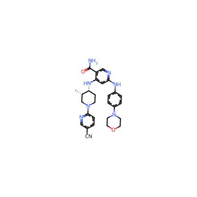 C[C@H]1CN(c2ccc(C#N)cn2)CC[C@H]1Nc1cc(Nc2ccc(N3CCOCC3)cc2)ncc1C(N)=O